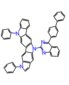 c1ccc(-c2ccc(-c3nc(-n4c5cc6ccn(-c7ccccc7)c6cc5c5cc6c(cc54)c4ccccc4n6-c4ccccc4)nc4ccccc34)cc2)cc1